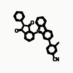 Cc1cc(C#N)ccc1-c1ccc2c3ccccc3n(-c3cccc4c3C(=O)C(c3ccccc3)C4=O)c2c1